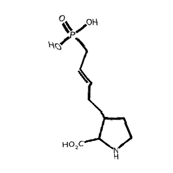 O=C(O)C1NCCC1CC=CCP(=O)(O)O